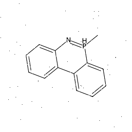 C[PH]1=Nc2ccccc2-c2ccccc21